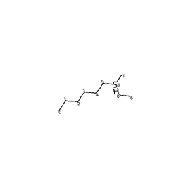 CCCCCC[SH](C)CC